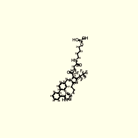 CCCc1nc(C(F)(F)C(F)(F)F)c(C(=O)NCC(=O)NCCCCON(O)O)n1Cc1ccc(-c2ccccc2-c2nnn[nH]2)cc1